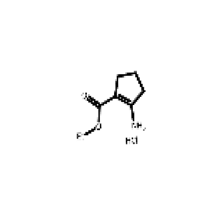 CCOC(=O)C1=C(N)CCC1.Cl